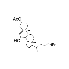 CC(=O)OC1CC[C@@]2(C)C(=CC(O)C3C2CC[C@@]2(C)C3CC[C@@H]2[C@H](C)CCCC(C)C)C1